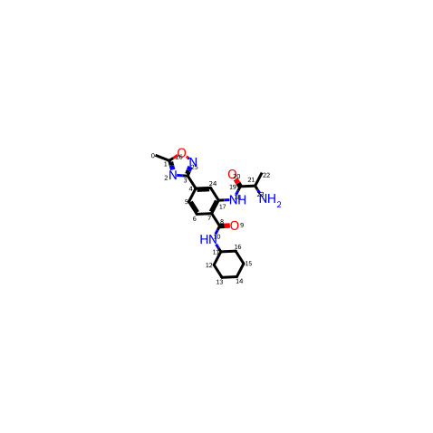 Cc1nc(-c2ccc(C(=O)NC3CCCCC3)c(NC(=O)C(C)N)c2)no1